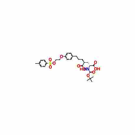 Cc1ccc(S(=O)(=O)OCCOc2ccc(CCC[C@@H](C[C@@H](NC(=O)OC(C)(C)C)C(=O)O)C(=O)O)cc2)cc1